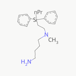 CCC[Si](CCN(C)CCCCN)(c1ccccc1)c1ccccc1